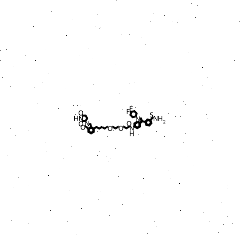 NC(=S)c1cccc(-c2cn(C3CCC(F)(F)CC3)c3cc(NC(=O)CCOCCCOCCCCCc4cccc5c4CN(C4CCC(=O)NC4=O)C5=O)ccc23)c1